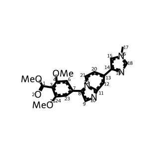 COC(=O)c1c(OC)cc(-c2cnc3cc(-c4cn(C)cn4)ccn23)cc1OC